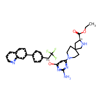 CCOC(=O)[C@@H]1CC2(CCN(c3cc(O[C@H](c4ccc(-c5ccc6cccnc6c5)cc4)C(F)(F)F)nc(N)n3)CC2)CN1